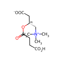 C[N+](C)(C)C[C@@H](CC(=O)[O-])OC(=O)CCC(=O)O